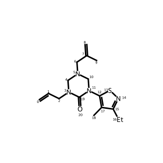 C=CCN1CN(CC(=C)C)CN(c2snc(CC)c2C)C1=O